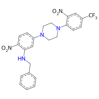 O=[N+]([O-])c1ccc(N2CCN(c3ccc(C(F)(F)F)cc3[N+](=O)[O-])CC2)cc1NCc1ccccc1